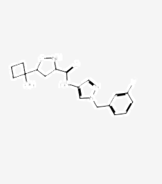 O=C(Nc1cnn(Cc2cccc(F)c2)c1)C1CC(C2(O)CCC2)ON1